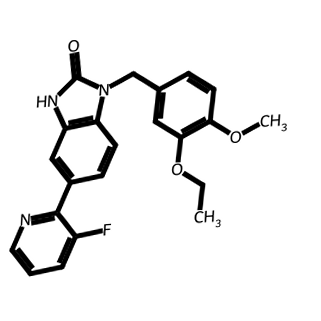 CCOc1cc(Cn2c(=O)[nH]c3cc(-c4ncccc4F)ccc32)ccc1OC